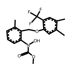 COC(=O)N(O)c1cccc(C)c1COc1cc(C)c(C)cc1C(F)(F)F